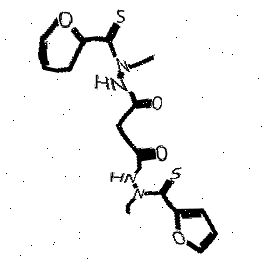 CN(NC(=O)CC(=O)NN(C)C(=S)C1CC=CO1)C(=S)c1ccco1